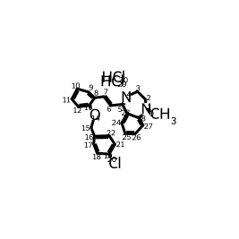 CN1CCN=C(C=Cc2ccccc2OCc2ccc(Cl)cc2)c2ccccc21.Cl.Cl